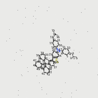 CC(C)Cc1ccc(N(c2ccc(CC(C)C)cc2)c2ccc3c(c2)sc2ccc4c(c23)-c2ccccc2C4(c2ccccc2)c2ccccc2)cc1